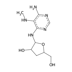 CNc1c(N)ncnc1NC1OC(CO)CC1O